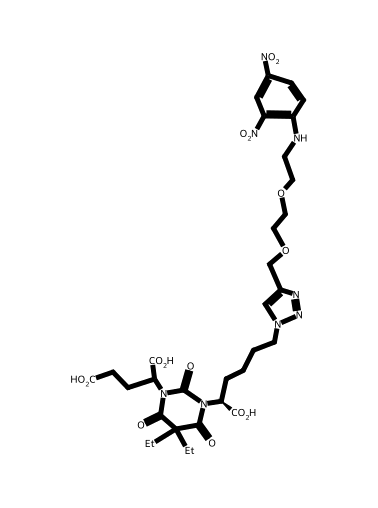 CCC1(CC)C(=O)N(C(CCC(=O)O)C(=O)O)C(=O)N([C@@H](CCCCn2cc(COCCOCCNc3ccc([N+](=O)[O-])cc3[N+](=O)[O-])nn2)C(=O)O)C1=O